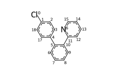 Clc1ccc(-c2ccccc2-c2ccccn2)cc1